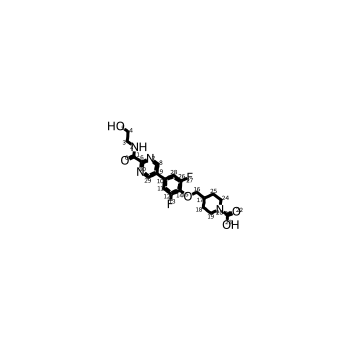 O=C(NCCO)c1ncc(-c2cc(F)c(OCC3CCN(C(=O)O)CC3)c(F)c2)cn1